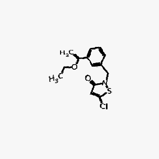 C=C(OCC)c1cccc(Cn2sc(Cl)cc2=O)c1